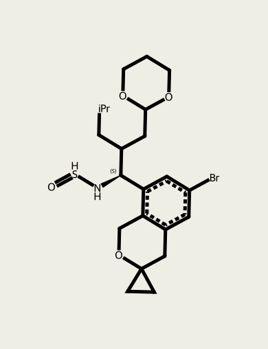 CC(C)CC(CC1OCCCO1)[C@H](N[SH]=O)c1cc(Br)cc2c1COC1(CC1)C2